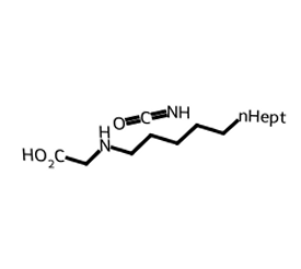 CCCCCCCCCCCCNCC(=O)O.N=C=O